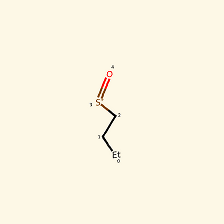 CC[CH]C[S+]=O